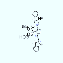 CN1/C(=C/C=C2\CCC(/C=C/C3=[N+](C)c4ccccc4C3(C)C)=C2N(SOOO)C(=O)OC(C)(C)C)C(C)(C)c2ccccc21